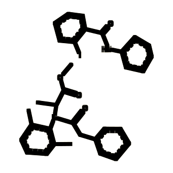 COC(=O)C(C)N(C(=O)Cc1ccccc1)c1c(C)cccc1C.O=C(Nc1ccccc1)c1ccccc1I